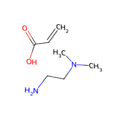 C=CC(=O)O.CN(C)CCN